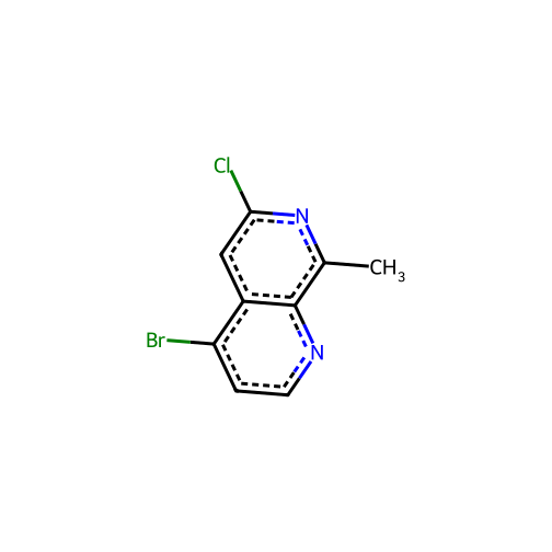 Cc1nc(Cl)cc2c(Br)ccnc12